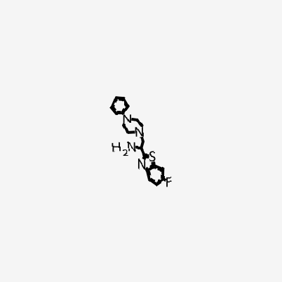 NC(CN1CCN(c2ccccc2)CC1)c1nc2ccc(F)cc2s1